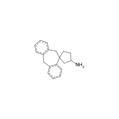 NC1CCC2(Cc3ccccc3Cc3ccccc32)C1